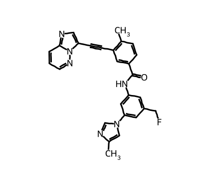 Cc1cn(-c2cc(CF)cc(NC(=O)c3ccc(C)c(C#Cc4cnc5cccnn45)c3)c2)cn1